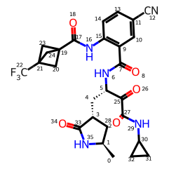 C[C@@H]1C[C@@H](C[C@H](NC(=O)c2cc(C#N)ccc2NC(=O)C23CC(C(F)(F)F)(C2)C3)C(=O)C(=O)NC2CC2)C(=O)N1